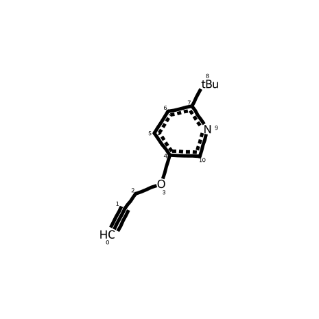 C#CCOc1ccc(C(C)(C)C)nc1